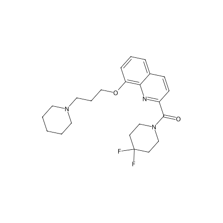 O=C(c1ccc2cccc(OCCCN3CCCCC3)c2n1)N1CCC(F)(F)CC1